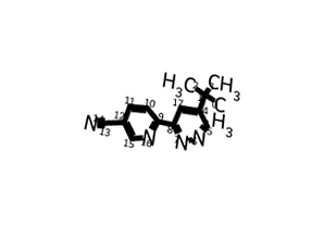 CC(C)(C)c1[c]nnc(-c2ccc(C#N)cn2)c1